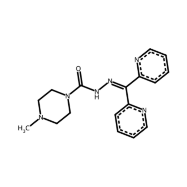 CN1CCN(C(=O)NN=C(c2ccccn2)c2ccccn2)CC1